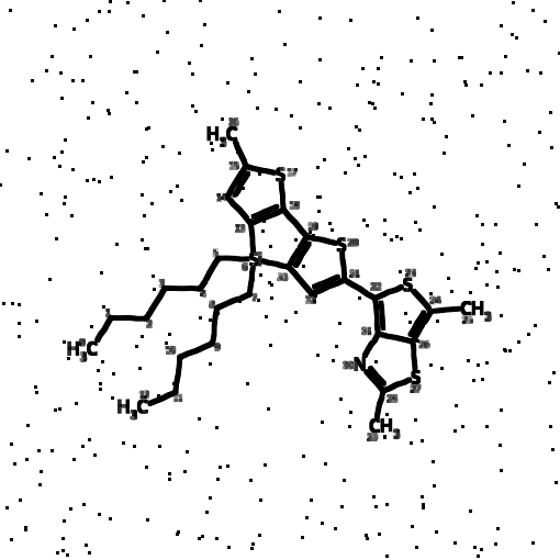 CCCCCC[Si]1(CCCCCC)c2cc(C)sc2-c2sc(-c3sc(C)c4sc(C)nc34)cc21